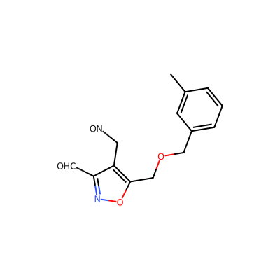 Cc1cccc(COCc2onc(C=O)c2CN=O)c1